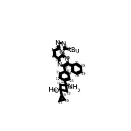 CC(C)(C)c1nnc2ccc3nc(-c4ccc([C@]5(N)C[C@@](O)(C6CC6)C5)cc4)c(-c4ccccc4)nc3n12